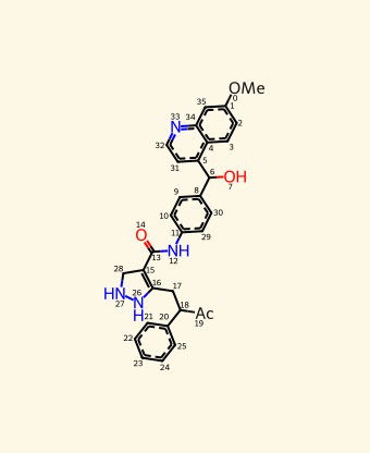 COc1ccc2c(C(O)c3ccc(NC(=O)C4=C(CC(C(C)=O)c5ccccc5)NNC4)cc3)ccnc2c1